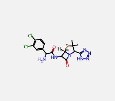 CC1(C)S[C@H]2C(NC(=O)C(N)c3ccc(Cl)c(Cl)c3)C(=O)N2C1c1nnn[nH]1